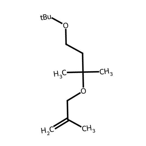 C=C(C)COC(C)(C)CCOC(C)(C)C